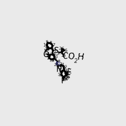 O=C(O)CC1(CSC2c3ccccc3COc3ccc(/C=C/c4ccc5c(F)c(F)c(F)cc5n4)cc32)CC1